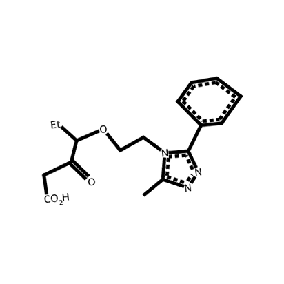 CCC(OCCn1c(C)nnc1-c1ccccc1)C(=O)CC(=O)O